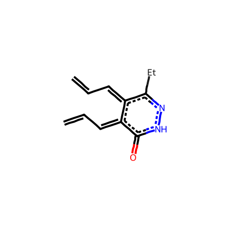 C=C/C=c1/c(CC)n[nH]c(=O)/c1=C/C=C